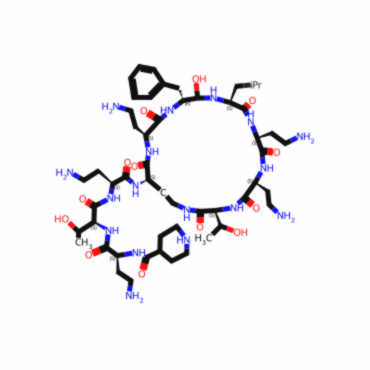 CC(C)C[C@@H]1NC(O)[C@@H](Cc2ccccc2)NC(=O)[C@H](CCN)NC(=O)[C@@H](NC(=O)[C@H](CCN)NC(=O)[C@@H](NC(=O)[C@H](CCN)NC(=O)C2CCNCC2)C(C)O)CCNC(=O)[C@H](C(C)O)NC(=O)[C@H](CCN)NC(=O)[C@H](CCN)NC1=O